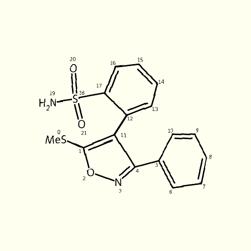 CSc1onc(-c2ccccc2)c1-c1ccccc1S(N)(=O)=O